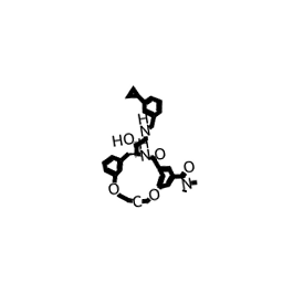 CN(C)C(=O)c1cc2cc(c1)C(=O)N[C@H]([C@H](O)CNCc1cccc(C3CC3)c1)Cc1cccc(c1)OCCCCO2